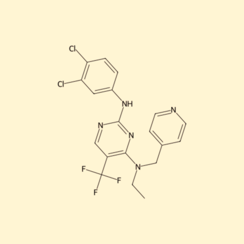 CCN(Cc1ccncc1)c1nc(Nc2ccc(Cl)c(Cl)c2)ncc1C(F)(F)F